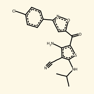 CC(C)Nc1sc(C(=O)c2cc(-c3ccc(Cl)cc3)no2)c(N)c1C#N